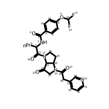 CCCC(NC(=O)c1ccc(OC(F)F)cc1)C(=O)N1CCC2C1C(=O)CN2C(=O)Cc1cccnc1